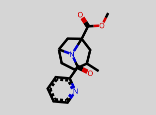 COC(=O)C12CC(C)CCC(C1)N2C(=O)c1ccccn1